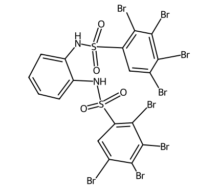 O=S(=O)(Nc1ccccc1NS(=O)(=O)c1cc(Br)c(Br)c(Br)c1Br)c1cc(Br)c(Br)c(Br)c1Br